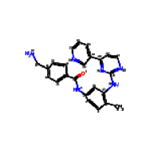 Cc1ccc(NC(=O)c2ccc(CN)cc2)cc1Nc1nccc(-c2cccnc2)n1